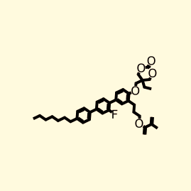 C=C(C)C(=C)OCCCc1cc(-c2ccc(-c3ccc(CCCCCCC)cc3)cc2F)ccc1OCC1(CC)COC(=O)OC1